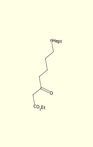 CCCCCCCCCCCC(=O)CC(=O)OCC